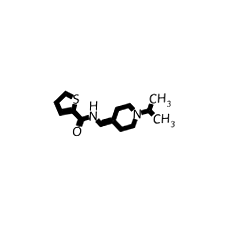 CC(C)N1CCC(=CNC(=O)C2=CCCS2)CC1